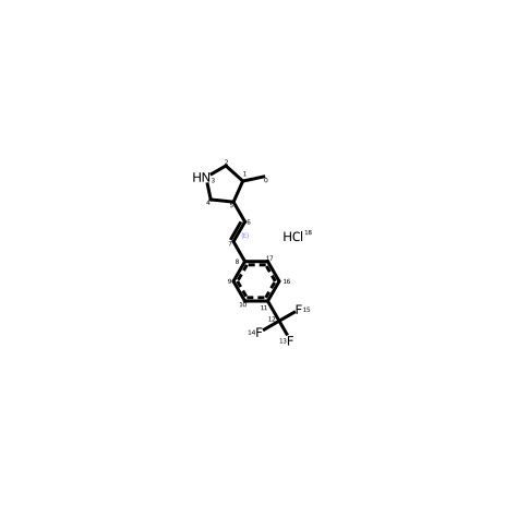 CC1CNCC1/C=C/c1ccc(C(F)(F)F)cc1.Cl